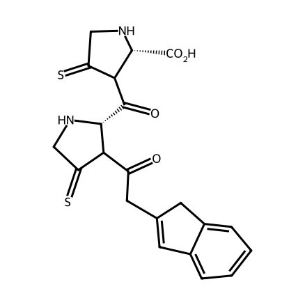 O=C(CC1=Cc2ccccc2C1)C1C(=S)CN[C@@H]1C(=O)C1C(=S)CN[C@@H]1C(=O)O